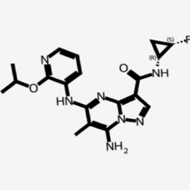 Cc1c(Nc2cccnc2OC(C)C)nc2c(C(=O)N[C@@H]3C[C@@H]3F)cnn2c1N